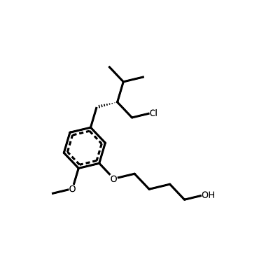 COc1ccc(C[C@@H](CCl)C(C)C)cc1OCCCCO